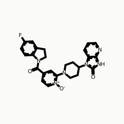 O=C(c1cc[n+]([O-])c(N2CCC(n3c(=O)[nH]c4ncccc43)CC2)c1)N1CCc2cc(F)ccc21